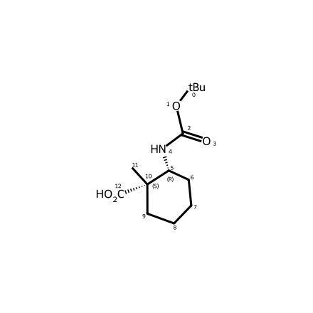 CC(C)(C)OC(=O)N[C@@H]1CCCC[C@]1(C)C(=O)O